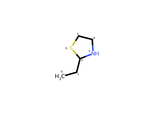 CCC1NCCS1